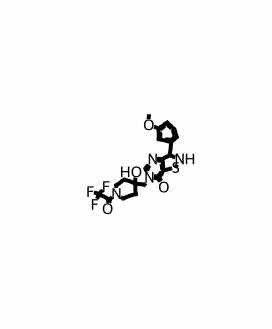 COc1cccc(C2NSc3c2ncn(CC2(O)CCN(C(=O)C(F)(F)F)CC2)c3=O)c1